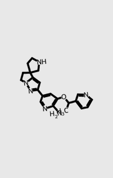 CC(Oc1cc(-c2cc3n(n2)CCC32CCNC2)cnc1N)c1cccnc1